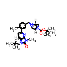 Cc1ccc(CN2C[C@H]3C[C@@H]2CN3C(=O)OC(C)(C)C)cc1-c1ccc2c(n1)n(C)c(=O)n2CC(C)(C)C